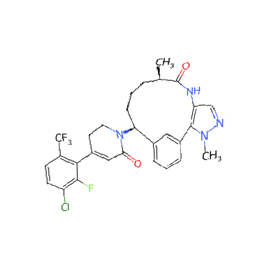 C[C@@H]1CCC[C@H](N2CCC(c3c(C(F)(F)F)ccc(Cl)c3F)=CC2=O)c2cccc(c2)-c2c(cnn2C)NC1=O